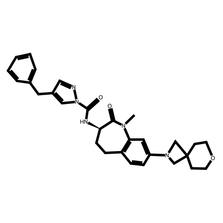 CN1C(=O)[C@H](NC(=O)n2cc(Cc3ccccc3)cn2)CCc2ccc(N3CC4(CCOCC4)C3)cc21